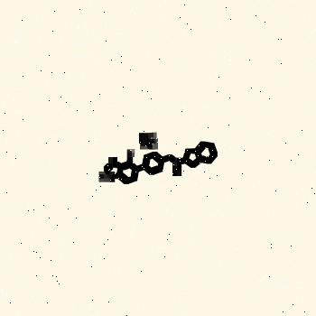 Cl.Cl.Fc1c(-c2ccc(CNC3Cc4ccccc4C3)cc2)ccc2[nH]cnc12